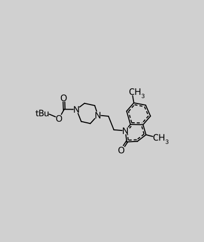 Cc1ccc2c(C)cc(=O)n(CCN3CCN(C(=O)OC(C)(C)C)CC3)c2c1